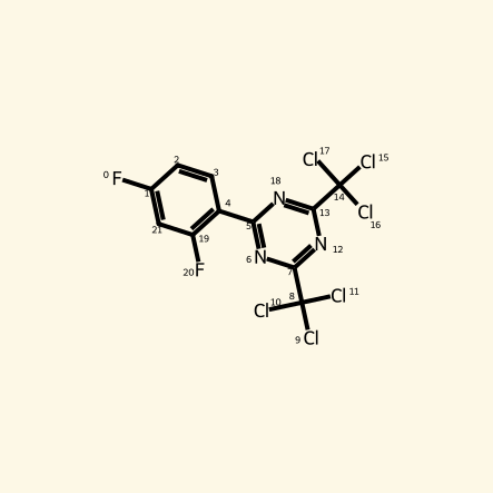 Fc1ccc(-c2nc(C(Cl)(Cl)Cl)nc(C(Cl)(Cl)Cl)n2)c(F)c1